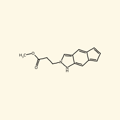 COC(=O)CCn1cc2cc3cccc3cc2[nH]1